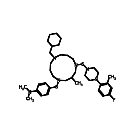 Cc1cc(F)ccc1N1CCN(SN2CCCN(CC3CCCCC3)CCCN(Sc3ccc(N(C)C)cc3)CC(C)C2)CC1